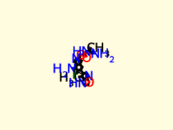 Cc1c(-c2cc3cc(OC(=O)NC(C)CN)ncc3c(N)c2F)cnc2c1NCCO2